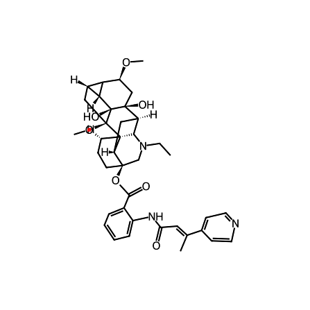 CCN1C[C@]2(OC(=O)c3ccccc3NC(=O)/C=C(\C)c3ccncc3)CC[C@H](OC)[C@]34C1[C@@H](C[C@H]23)[C@@]1(O)C[C@H](OC)C2[C@H]3C[C@@H]4[C@]1(O)[C@@H]23